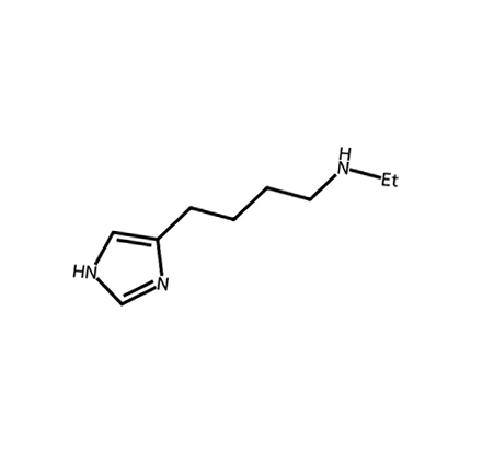 CCNCCCCc1c[nH]cn1